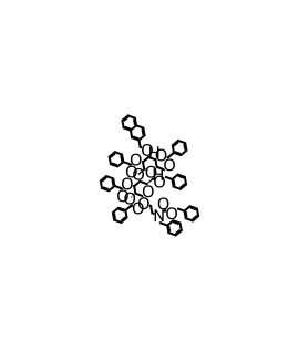 O=C(O[C@@H]1[C@@H](OC(=O)c2ccccc2)[C@H](OCCN(Cc2ccccc2)C(=O)OCc2ccccc2)O[C@H](COCc2ccccc2)[C@H]1O[C@@H]1O[C@@H]2COC(c3ccccc3)O[C@H]2[C@H](OCc2ccc3ccccc3c2)[C@H]1OC(=O)c1ccccc1)c1ccccc1